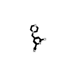 N#Cc1cc(CN2CCOCC2)cc(Cl)n1